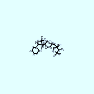 FC(C(F)(F)F)C(F)(F)CC1COC(C(F)(C(F)N2CCCCC2)C(F)(F)F)CO1